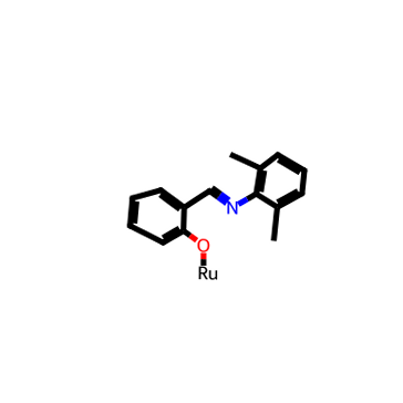 Cc1cccc(C)c1N=Cc1ccccc1[O][Ru]